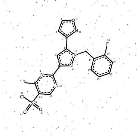 Cc1nc(-c2cc(-c3ccon3)n(Cc3ccccc3F)n2)ncc1S(=O)(=O)Cl